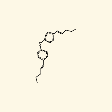 CCCC=Cc1ccc(Sc2ccc(C=CCCC)cc2)cc1